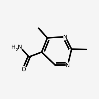 Cc1ncc(C(N)=O)c(C)n1